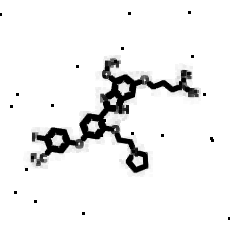 [CH2]CCOc1cc(OCCCN(CC)CC)cc2[nH]c(-c3ccc(Oc4ccc(F)c(C(F)(F)F)c4)cc3OCCN3CCCC3)nc12